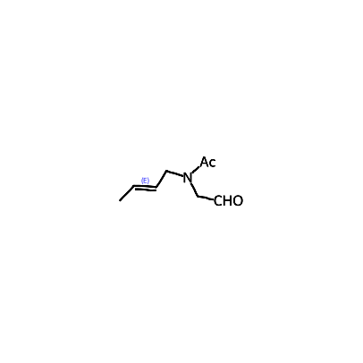 C/C=C/CN(CC=O)C(C)=O